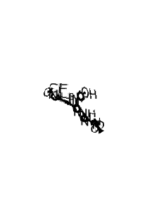 O=C(N1CCC(C#Cc2cnc(Nc3ccnc(-c4cnn(S(=O)(=O)C5CC5)c4)n3)cc2NC2CCC(O)CC2)C1)C(F)(F)F